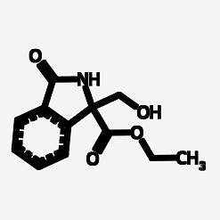 CCOC(=O)C1(CO)NC(=O)c2ccccc21